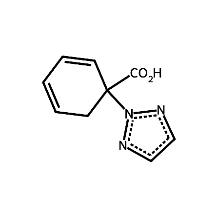 O=C(O)C1(n2nccn2)C=CC=CC1